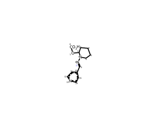 O=C(O)OC1CCCCN1/N=C/c1ccncc1